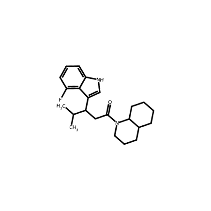 CC(C)C(CC(=O)N1CCCC2CCCCC21)c1c[nH]c2cccc(F)c12